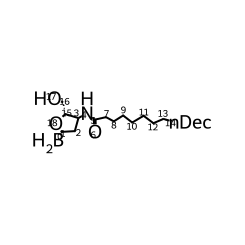 B[C@H]1CC(NC(=O)CCCCCCCCCCCCCCCCC)[C@@H](CO)O1